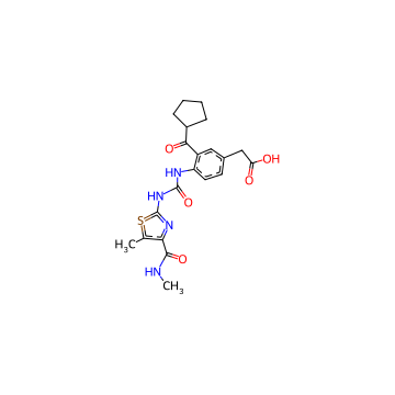 CNC(=O)c1nc(NC(=O)Nc2ccc(CC(=O)O)cc2C(=O)C2CCCC2)sc1C